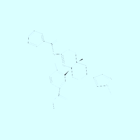 COC(=O)c1ccc(F)c([C@]23CO[C@@H](c4cnn(C)c4)C[C@H]2CSC(NC(=O)c2ccccc2)=N3)c1